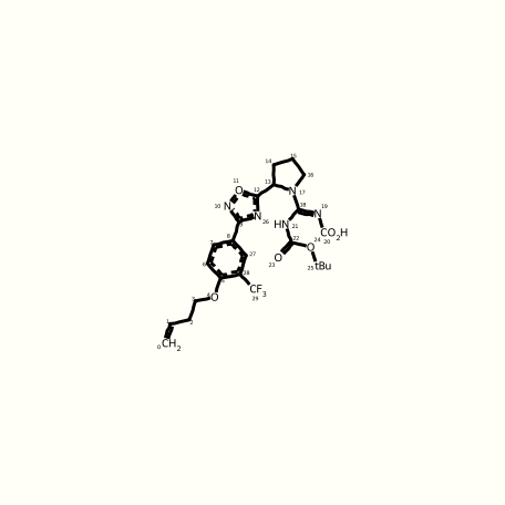 C=CCCOc1ccc(-c2noc(C3CCCN3C(=NC(=O)O)NC(=O)OC(C)(C)C)n2)cc1C(F)(F)F